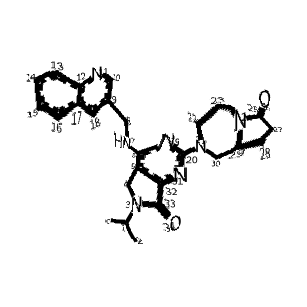 CC(C)N1Cc2c(NCc3cnc4ccccc4c3)nc(N3CCN4C(=O)CCC4C3)nc2C1=O